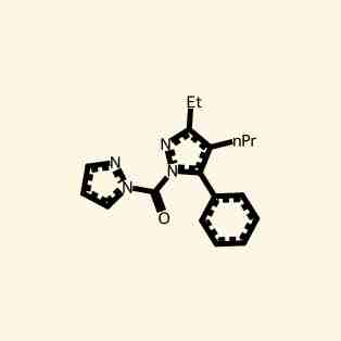 CCCc1c(CC)nn(C(=O)n2cccn2)c1-c1ccccc1